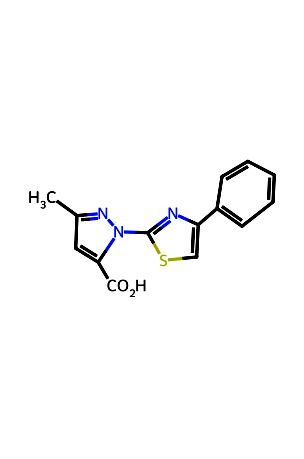 Cc1cc(C(=O)O)n(-c2nc(-c3ccccc3)cs2)n1